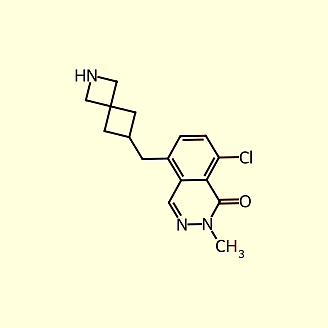 Cn1ncc2c(CC3CC4(CNC4)C3)ccc(Cl)c2c1=O